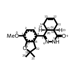 COc1ccc(C2=NNC(=O)[C@H]3CC=CC[C@@H]23)c2c1OC(C)(C)C2